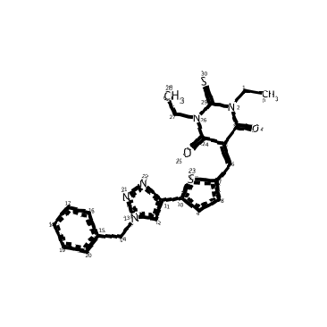 CCN1C(=O)C(=Cc2ccc(-c3cn(Cc4ccccc4)nn3)s2)C(=O)N(CC)C1=S